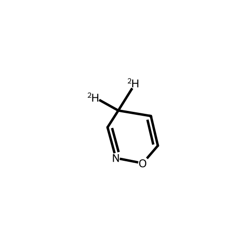 [2H]C1([2H])C=CON=C1